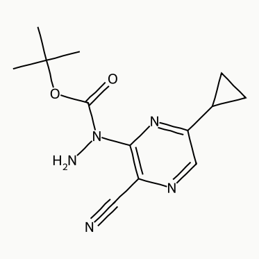 CC(C)(C)OC(=O)N(N)c1nc(C2CC2)cnc1C#N